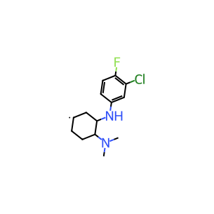 CN(C)C1CC[CH]CC1Nc1ccc(F)c(Cl)c1